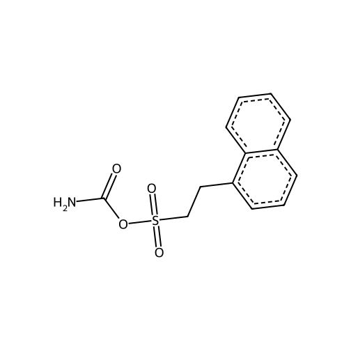 NC(=O)OS(=O)(=O)CCc1cccc2ccccc12